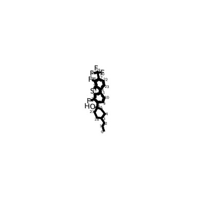 CCCC1CCC(O)(c2ccc3c(sc4c(F)c(C(F)(F)F)ccc43)c2F)CC1